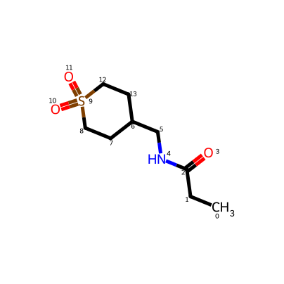 CCC(=O)NCC1CCS(=O)(=O)CC1